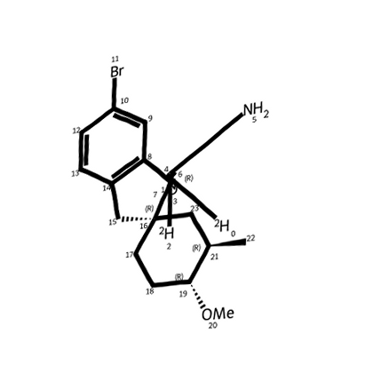 [2H]C1([2H])OC(N)=N[C@]12c1cc(Br)ccc1C[C@]21CC[C@@H](OC)[C@H](C)C1